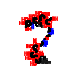 CN[C@@H]1C[C@@H](O)C(OC2C(CO)OC(OC3C(CO)OC(OCc4cn(COCCn5cc(COC6OC(CO)C(OC7OC(CO)C(OC8OC(C)[C@@H](N[C@H]9C=C(CO)[C@@H](O)[C@H](O)[C@@H]9O)C[C@@H]8O)C(O)C7O)C(O)C6O)nn5)nn4)C(O)C3O)C(O)C2O)OC1C